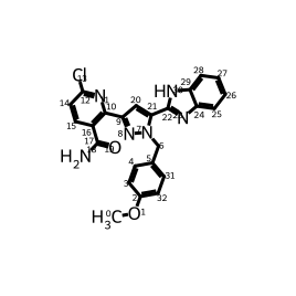 COc1ccc(Cn2nc(-c3nc(Cl)ccc3C(N)=O)cc2-c2nc3ccccc3[nH]2)cc1